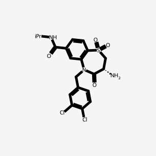 CC(C)NC(=O)c1ccc2c(c1)N(Cc1ccc(Cl)c(Cl)c1)C(=O)[C@@H](N)CS2(=O)=O